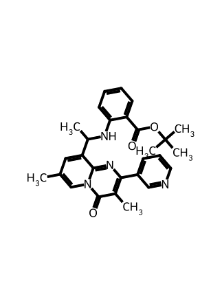 Cc1cc(C(C)Nc2ccccc2C(=O)OC(C)(C)C)c2nc(-c3cccnc3)c(C)c(=O)n2c1